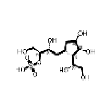 O=S(=O)(O)O[C@@H](CO)[C@H](O)CC1C[C@@H](O)[C@@H](O)[C@@H]1[C@@H](O)CO